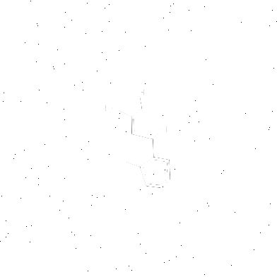 CC(=CC(C)c1ccccc1C)CO